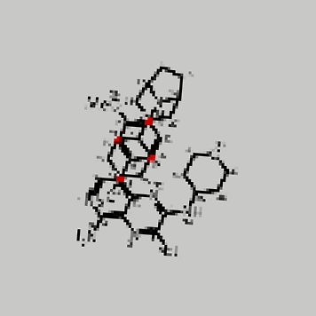 CCc1nc2c(N)ncc(-c3ccc(N4C5CCC4CN(C4CCN(C)CC4)C5)c(OC)c3)c2nc1NC1CCOCC1